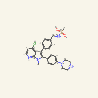 Cn1c(-c2ccc(N3CCNCC3)cc2)c(-c2ccc(CNS(C)(=O)=O)cc2)c2c(Cl)ccnc21